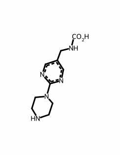 O=C(O)NCc1cnc(N2CCNCC2)nc1